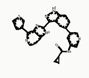 O=C(Nc1cncc(-c2ccc3[nH]nc(-c4nc5c(-c6ccsc6)nccc5[nH]4)c3c2)c1)C1CC1